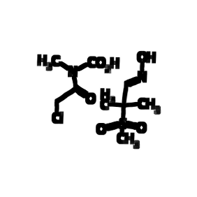 CC(C)(/C=N/O)S(C)(=O)=O.CN(C(=O)O)C(=O)CCl